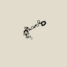 Nc1ncc2ncn(COCCOC(=O)c3ccccc3)c2n1